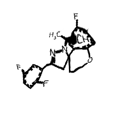 C=C(C)N1N=C(c2cc(F)ccc2F)CC12CCOc1ccc(F)cc12